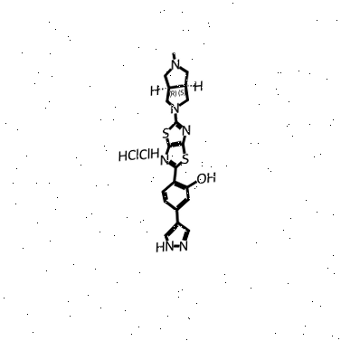 CN1C[C@@H]2CN(c3nc4sc(-c5ccc(-c6cn[nH]c6)cc5O)nc4s3)C[C@@H]2C1.Cl.Cl